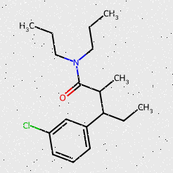 CCCN(CCC)C(=O)C(C)C(CC)c1cccc(Cl)c1